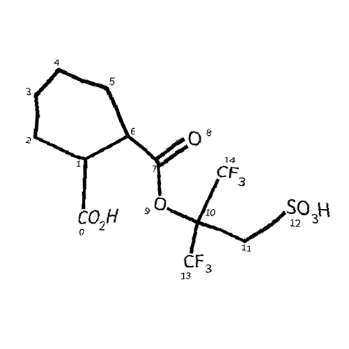 O=C(O)C1CCCCC1C(=O)OC(CS(=O)(=O)O)(C(F)(F)F)C(F)(F)F